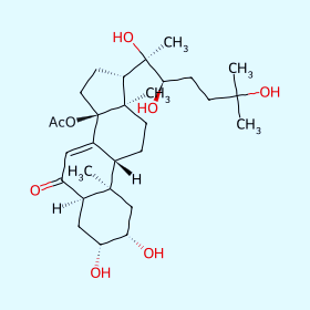 CC(=O)O[C@@]12CC[C@H]([C@@](C)(O)[C@H](O)CCC(C)(C)O)[C@@]1(C)CC[C@H]1C2=CC(=O)[C@@H]2C[C@@H](O)[C@@H](O)C[C@@]21C